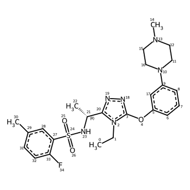 CCn1c(Oc2cccc(N3CCN(C)CC3)c2)nnc1[C@@H](C)NS(=O)(=O)c1cc(C)ccc1F